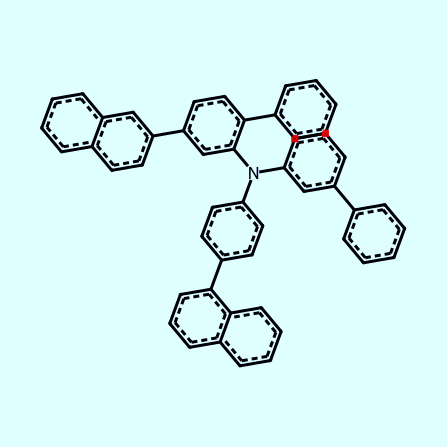 c1ccc(-c2cccc(N(c3ccc(-c4cccc5ccccc45)cc3)c3cc(-c4ccc5ccccc5c4)ccc3-c3ccccc3)c2)cc1